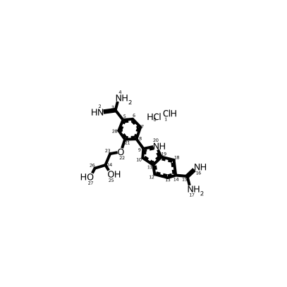 Cl.Cl.N=C(N)c1ccc(-c2cc3ccc(C(=N)N)cc3[nH]2)c(OCC(O)CO)c1